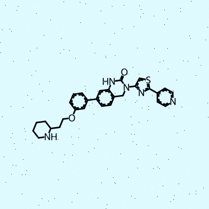 O=C1Nc2cc(-c3cccc(OCCC4CCCCN4)c3)ccc2CN1c1csc(-c2ccncc2)n1